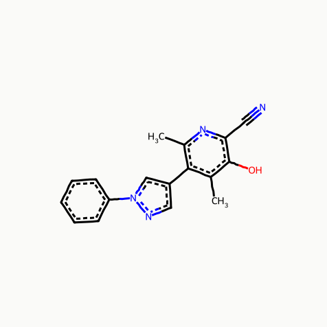 Cc1nc(C#N)c(O)c(C)c1-c1cnn(-c2ccccc2)c1